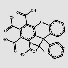 O=C(O)c1c2c(c(C(=O)O)c(C(=O)O)c1C(=O)O)C(c1ccccc1)(C(F)(F)F)c1ccccc1O2